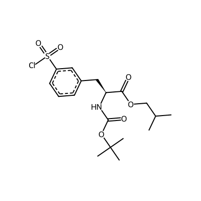 CC(C)COC(=O)[C@H](Cc1cccc(S(=O)(=O)Cl)c1)NC(=O)OC(C)(C)C